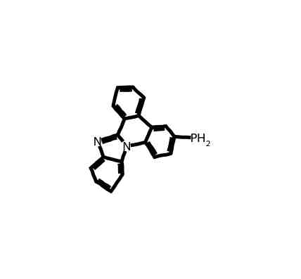 Pc1ccc2c(c1)c1ccccc1c1nc3ccccc3n21